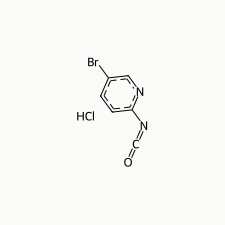 Cl.O=C=Nc1ccc(Br)cn1